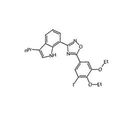 CCCc1c[nH]c2c(-c3noc(-c4cc(I)c(OCC)c(OCC)c4)n3)cccc12